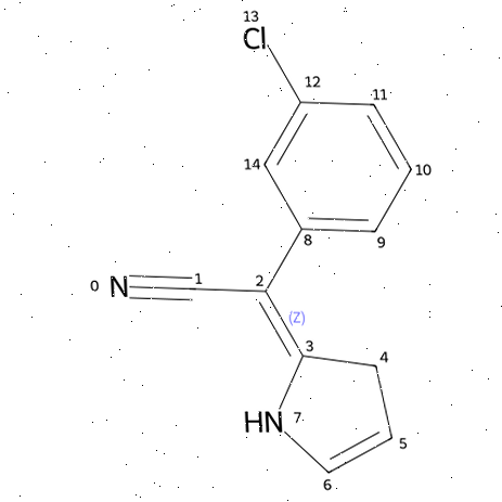 N#C/C(=C1/CC=CN1)c1cccc(Cl)c1